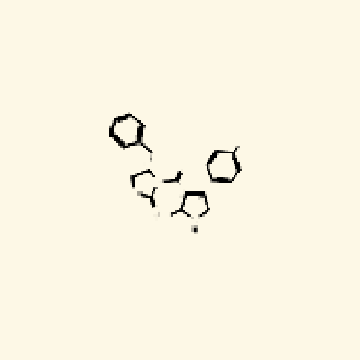 CC(C)(C)C1[C@@H](C(=O)N2C(=O)OC[C@H]2Cc2ccccc2)[C@H](c2ccc(Cl)cc2)CN1C(=O)O